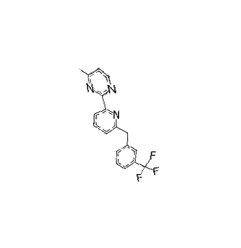 Cc1ccnc(-c2cccc(Cc3cccc(C(F)(F)F)c3)n2)n1